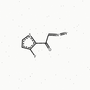 [N-]=[N+]=CC(=O)c1sccc1F